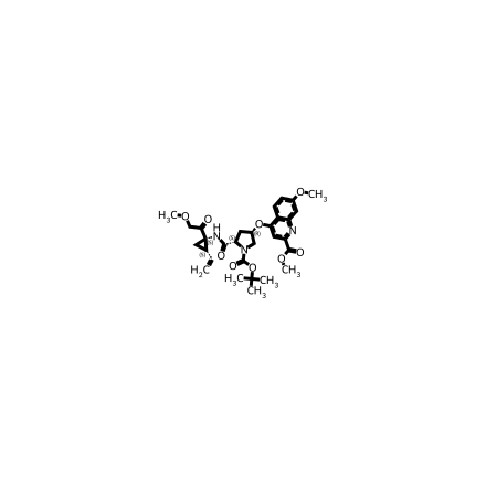 C=C[C@@H]1C[C@@]1(NC(=O)[C@@H]1C[C@@H](Oc2cc(C(=O)OC)nc3cc(OC)ccc23)CN1C(=O)OC(C)(C)C)C(=O)COC